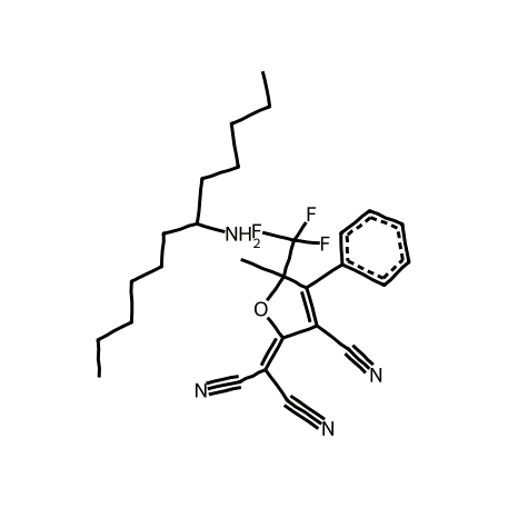 CC1(C(F)(F)F)OC(=C(C#N)C#N)C(C#N)=C1c1ccccc1.CCCCCCC(N)CCCCC